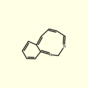 C1=CC=c2ccccc2=NCN=C1